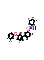 c1ccc(Oc2cccc(-c3cccc(ONC4CCCCC4)c3)c2)cc1